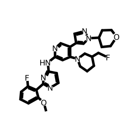 COc1cccc(F)c1-c1nccc(Nc2cc(N3CCCC(CF)C3)c(-c3cnn(C4CCOCC4)c3)cn2)n1